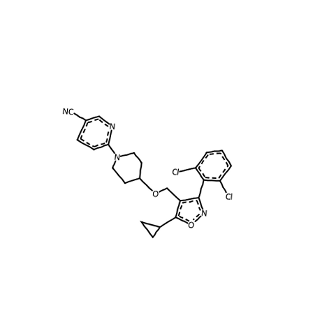 N#Cc1ccc(N2CCC(OCc3c(-c4c(Cl)cccc4Cl)noc3C3CC3)CC2)nc1